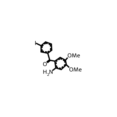 COc1cc(N)c(C(=O)c2cccc(I)c2)cc1OC